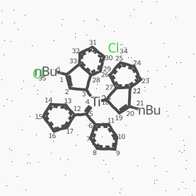 CCCCC1=C[CH]([Ti+2](=[C](c2ccccc2)c2ccccc2)[CH]2C=C(CCCC)c3ccccc32)c2ccccc21.[Cl-].[Cl-]